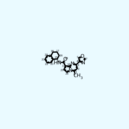 Cc1cc(-c2cocn2)nc2c(C(=O)N[C@H]3CCCc4ccccc43)ccn12